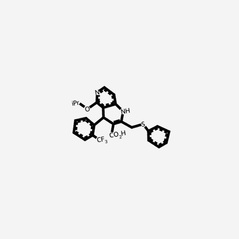 CC(C)Oc1nccc2c1C(c1ccccc1C(F)(F)F)C(C(=O)O)=C(CSc1ccccc1)N2